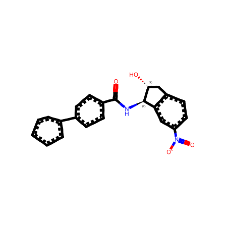 O=C(N[C@@H]1c2cc([N+](=O)[O-])ccc2C[C@H]1O)c1ccc(-c2ccccc2)cc1